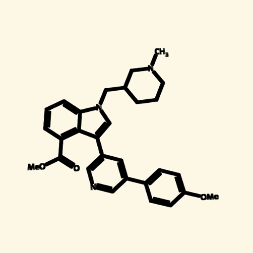 COC(=O)c1cccc2c1c(-c1cncc(-c3ccc(OC)cc3)c1)cn2CC1CCCN(C)C1